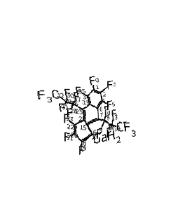 Fc1c(F)c(F)c2c(C(F)(F)C(F)(F)C(F)(F)F)c3[c]([GaH2])c(F)c(F)c(F)c3c(C(F)(F)C(F)(F)C(F)(F)F)c2c1F